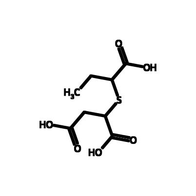 CCC(SC(CC(=O)O)C(=O)O)C(=O)O